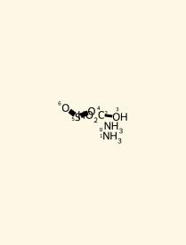 N.N.O=C(O)O.O=S=O